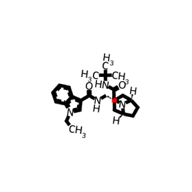 CCn1cc(C(=O)NC[C@@H]2C[C@H]3CC[C@@H](C2)N3CC(=O)NC(C)(C)C)c2ccccc21